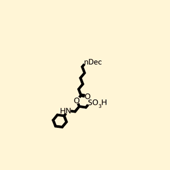 CCCCCCCCCCCCCCCC(=O)OC(CNC1CCCCC1)CS(=O)(=O)O